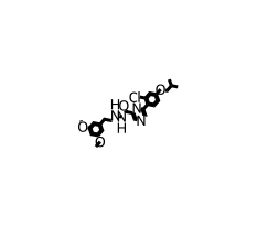 COc1cc(CCNNC(=O)c2cncc(-c3ccc(OCC(C)C)cc3Cl)n2)cc(OC)c1